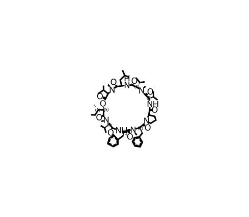 CC[C@H](C)[C@@H]1OC(=O)C(C(C)C)N(C)C(=O)C(CC(C)C)NC(=O)[C@H](C(C)C)N(C)C(=O)[C@@H](C(C)C)NC(=O)C2CCCN2C(=O)[C@@H](Cc2ccccc2)N(C)C(=O)[C@@H](Cc2ccccc2)NC(=O)[C@@H](C(C)C)N(C)C1=O